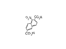 O=C(O)c1ccc2c([N+](=O)[O-])c(C(=O)O)ccc2c1